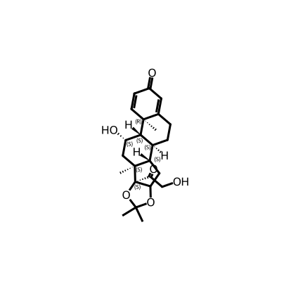 CC1(C)OC2C[C@H]3[C@@H]4CCC5=CC(=O)C=C[C@]5(C)[C@H]4[C@@H](O)C[C@]3(C)[C@]2(C(=O)CO)O1